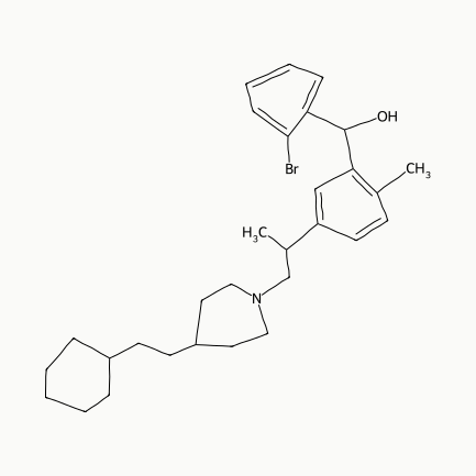 Cc1ccc(C(C)CN2CCC(CCC3CCCCC3)CC2)cc1C(O)c1ccccc1Br